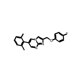 Cc1cccc(C)c1-c1cnc2nc(COc3ccc(F)cc3)cn2c1